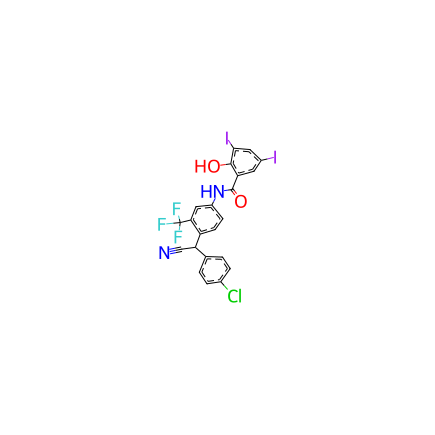 N#CC(c1ccc(Cl)cc1)c1ccc(NC(=O)c2cc(I)cc(I)c2O)cc1C(F)(F)F